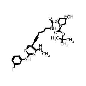 CNc1nc(Nc2cccc(F)c2)ncc1C#CCCCNC(=O)[C@@H]1C[C@H](O)CN1C(=O)OC(C)(C)C